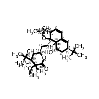 C[C@H]1C=CC2=C[C@@H](C(C)(C)C)C[C@H](O)[C@@H]2[C@@]1(CC[C@@H]1C[C@](C)(C(C)(C)C)C(C)(O[SiH3])C(=O)O1)O[SiH](C)C